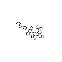 CC1(C)c2ccc(-c3c4ccccc4c(-c4ccc(C5Cc6ccccc6O5)cc4)c4ccccc34)cc2-c2c1ccc1oc3ccccc3c21